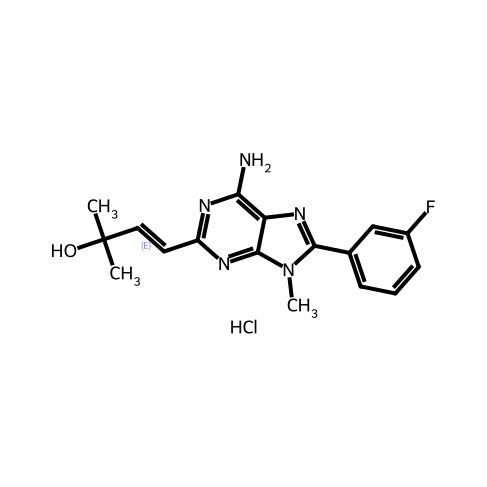 Cl.Cn1c(-c2cccc(F)c2)nc2c(N)nc(/C=C/C(C)(C)O)nc21